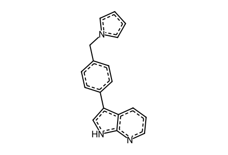 c1cnc2[nH]cc(-c3ccc(Cn4cccc4)cc3)c2c1